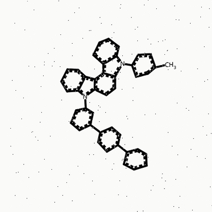 Cc1ccc(-n2c3ccccc3c3c4c5ccccc5n(-c5cccc(-c6ccc(-c7ccccc7)cc6)c5)c4ccc32)cc1